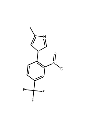 Cc1cn(-c2ccc(C(F)(F)F)cc2[N+](=O)[O-])cn1